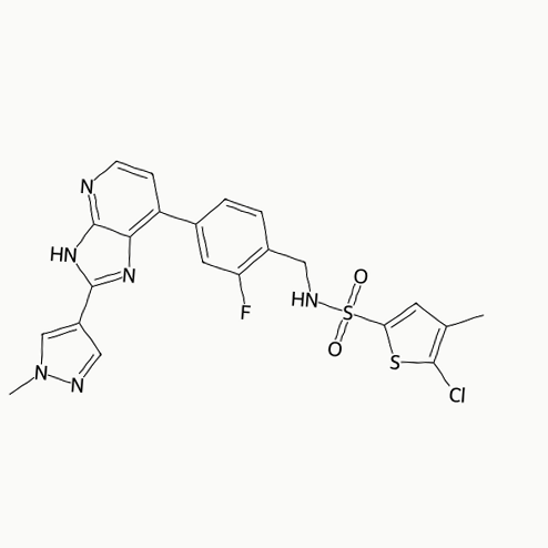 Cc1cc(S(=O)(=O)NCc2ccc(-c3ccnc4[nH]c(-c5cnn(C)c5)nc34)cc2F)sc1Cl